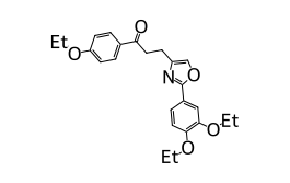 CCOc1ccc(C(=O)CCc2coc(-c3ccc(OCC)c(OCC)c3)n2)cc1